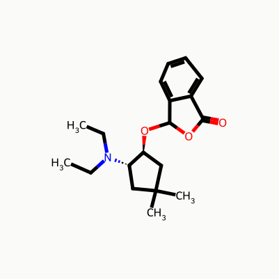 CCN(CC)[C@H]1CC(C)(C)C[C@@H]1OC1OC(=O)c2ccccc21